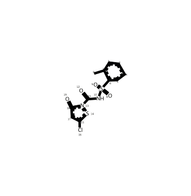 Cc1ccccc1S(=O)(=O)NC(=O)n1sc(Cl)cc1=O